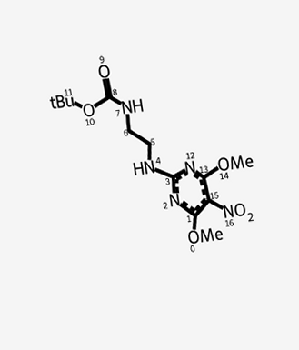 COc1nc(NCCNC(=O)OC(C)(C)C)nc(OC)c1[N+](=O)[O-]